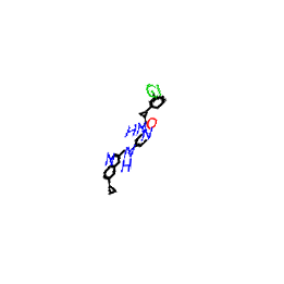 O=C(Nc1cc(NCc2cnc3ccc(C4CC4)cc3c2)ccn1)[C@H]1CC1c1cccc(Cl)c1